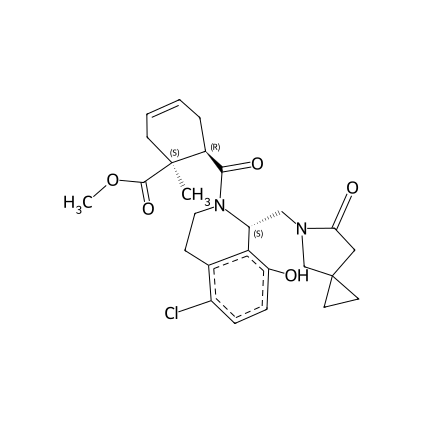 COC(=O)[C@@]1(C)CC=CC[C@H]1C(=O)N1CCc2c(Cl)ccc(O)c2[C@H]1CN1CC2(CC2)CC1=O